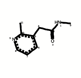 CNC(=O)Cc1cccnc1C